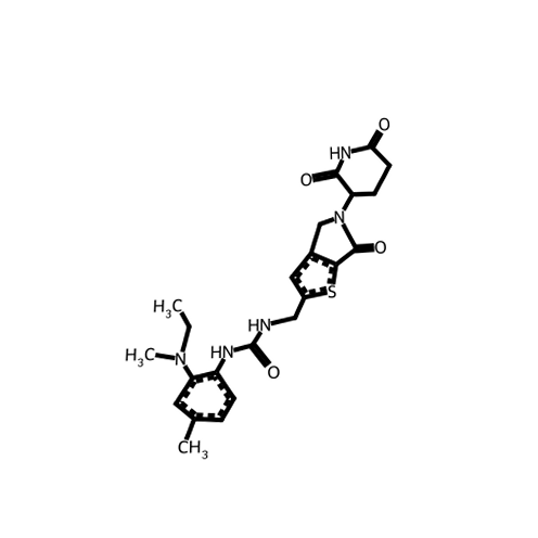 CCN(C)c1cc(C)ccc1NC(=O)NCc1cc2c(s1)C(=O)N(C1CCC(=O)NC1=O)C2